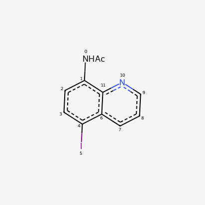 CC(=O)Nc1ccc(I)c2cccnc12